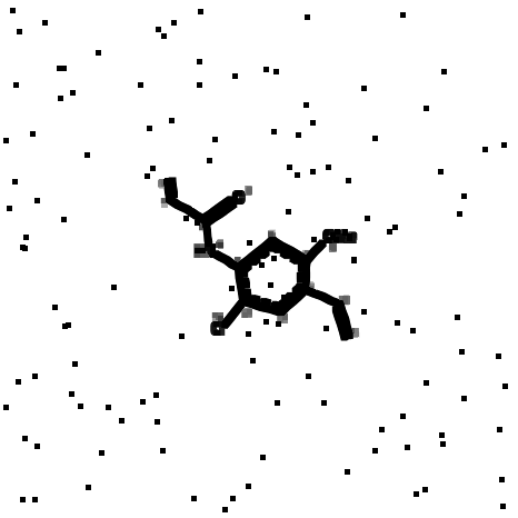 C=CC(=O)Nc1cc(OC)c(C=C)cc1Cl